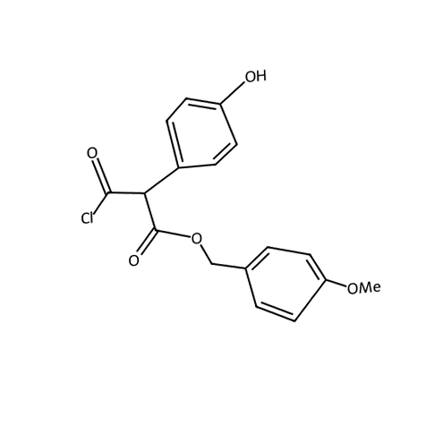 COc1ccc(COC(=O)C(C(=O)Cl)c2ccc(O)cc2)cc1